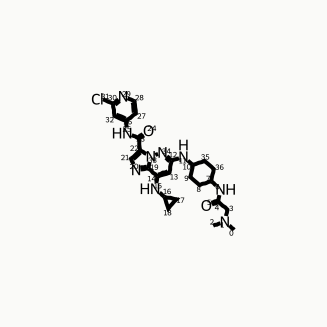 CN(C)CC(=O)NC1CCC(Nc2cc(NC3CC3)c3ncc(C(=O)Nc4ccnc(Cl)c4)n3n2)CC1